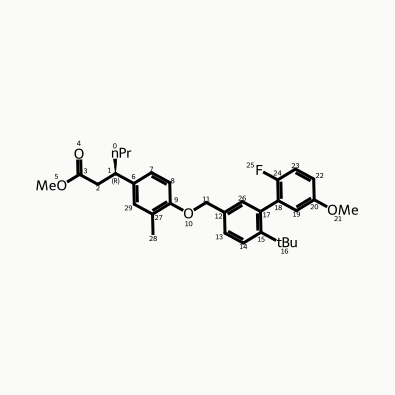 CCC[C@H](CC(=O)OC)c1ccc(OCc2ccc(C(C)(C)C)c(-c3cc(OC)ccc3F)c2)c(C)c1